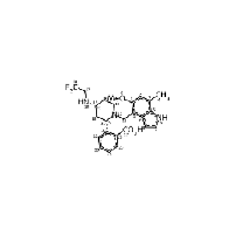 COc1cc(C)c2[nH]ccc2c1CN1CC[C@@H](NCC(F)(F)F)C[C@H]1c1ccccc1C(=O)O